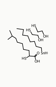 CC(C)CCCCCC(S)C(=O)O.CCCCCCC[CH2][SnH].OCCS.OCCS